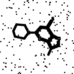 Cc1coc2c(=S)cc(N3CCCCC3)oc12